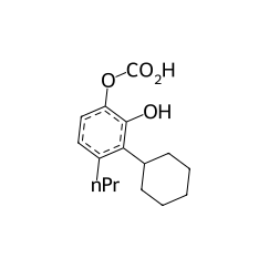 CCCc1ccc(OC(=O)O)c(O)c1C1CCCCC1